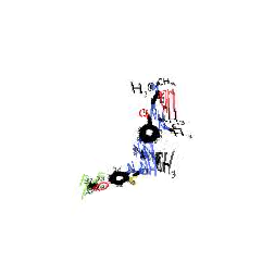 CCN(CC)c1cc2c(cc1C(=O)NCC(O)N(C)C)nc(Nc1nc3ccc(OC(F)(F)F)cc3s1)n2C